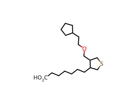 O=C(O)CCCCCCC1CSCC1COCCC1CCCC1